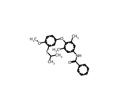 COc1ccc(Oc2c(C)cc(NC(=O)c3ccccc3)cc2C)cc1SC(C)C